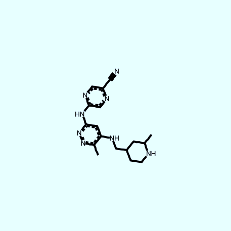 Cc1nnc(Nc2cnc(C#N)cn2)cc1NCC1CCNC(C)C1